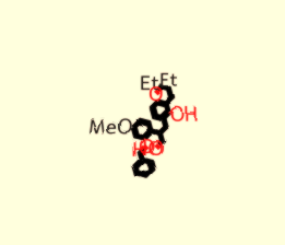 CCC1(CC)C=Cc2c(ccc(CC(CO)c3ccc(OC)cc3OCc3ccccc3)c2O)O1